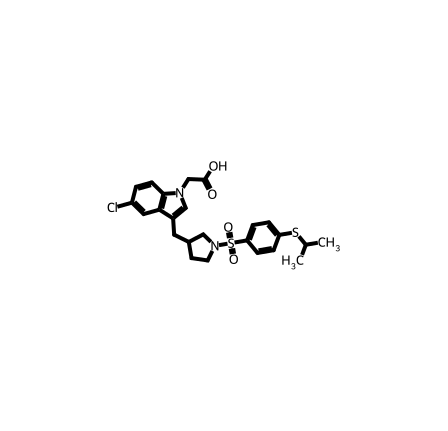 CC(C)Sc1ccc(S(=O)(=O)N2CCC(Cc3cn(CC(=O)O)c4ccc(Cl)cc34)C2)cc1